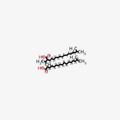 CC(C)CCCCCCCCCCCCCC(C(=O)O)C(C)C.CC(C)CCCCCCCCCCCCCCC(=O)O